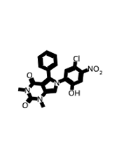 Cn1c(=O)c2c(-c3ccccc3)n(-c3cc(Cl)c([N+](=O)[O-])cc3O)cc2n(C)c1=O